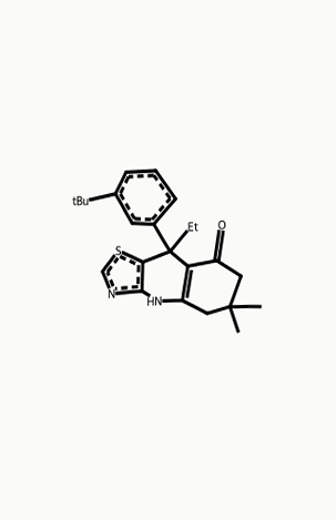 CCC1(c2cccc(C(C)(C)C)c2)C2=C(CC(C)(C)CC2=O)Nc2ncsc21